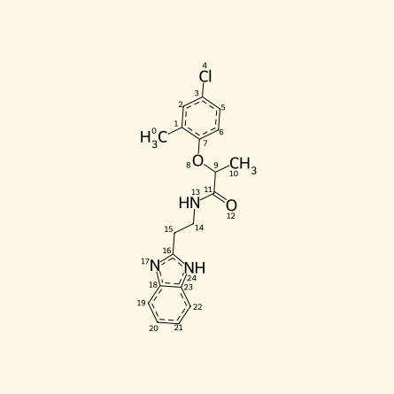 Cc1cc(Cl)ccc1OC(C)C(=O)NCCc1nc2ccccc2[nH]1